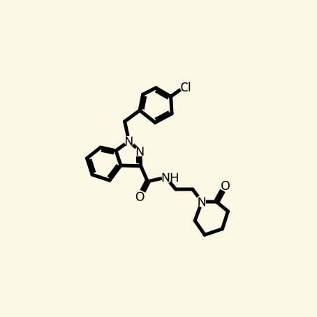 O=C(NCCN1CCCCC1=O)c1nn(Cc2ccc(Cl)cc2)c2ccccc12